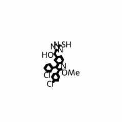 COc1nc2ccc(C(O)c3nnc(S)n3C)cc2c(-c2cccc(Cl)c2)c1-c1ccc(Cl)cc1